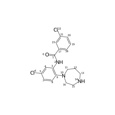 O=C(Nc1cc(Cl)ccc1N1CCCNCC1)c1cccc(Cl)c1